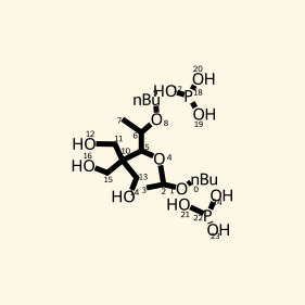 CCCCOC(C)OC(C(C)OCCCC)C(CO)(CO)CO.OP(O)O.OP(O)O